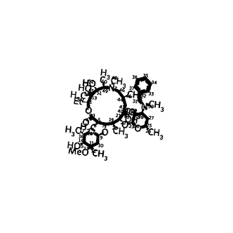 CC[C@H]1OC(=O)[C@H](C)[C@@H](O[C@H]2C[C@@](C)(OC)[C@@H](O)[C@H](C)O2)[C@H](C)[C@@H](O[C@@H]2O[C@H](C)C[C@H](N(C)Cc3ccccc3)[C@H]2O)[C@](C)(O)C[C@@H](C)CN(C)[C@H](C)[C@@H](O)[C@]1(C)O